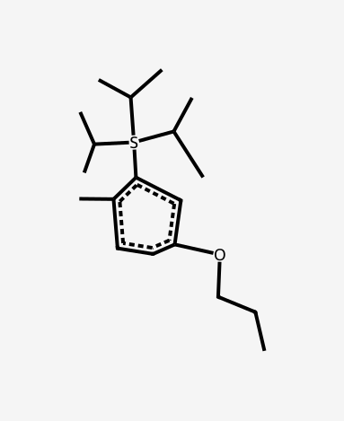 CCCOc1ccc(C)c(S(C(C)C)(C(C)C)C(C)C)c1